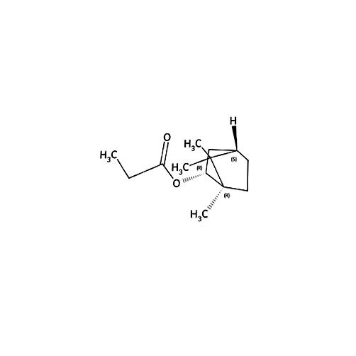 CCC(=O)O[C@@H]1C[C@@H]2CC[C@]1(C)C2(C)C